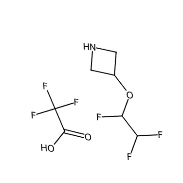 FC(F)C(F)OC1CNC1.O=C(O)C(F)(F)F